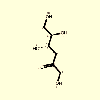 O=C(CO)C[C@H](O)[C@H](O)CO